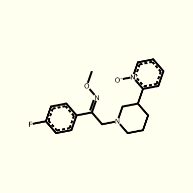 CON=C(CN1CCCC(c2cccc[n+]2[O-])C1)c1ccc(F)cc1